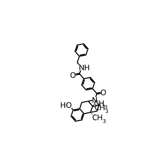 CC1(C)C2Cc3c(O)cccc3[C@]1(C)CCN2C(=O)c1ccc(C(=O)NCc2ccccc2)cc1